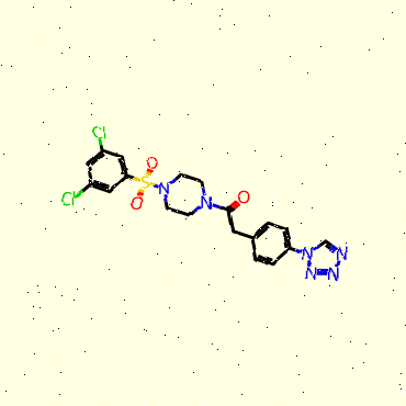 O=C(Cc1ccc(-n2cnnn2)cc1)N1CCN(S(=O)(=O)c2cc(Cl)cc(Cl)c2)CC1